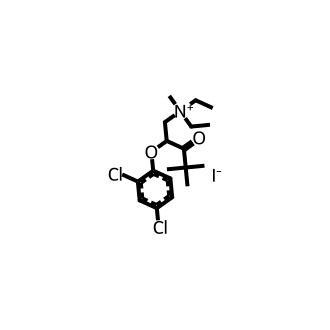 CC[N+](C)(CC)CC(Oc1ccc(Cl)cc1Cl)C(=O)C(C)(C)C.[I-]